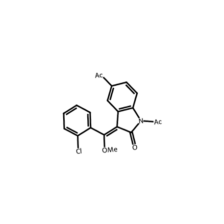 CO/C(=C1\C(=O)N(C(C)=O)c2ccc(C(C)=O)cc21)c1ccccc1Cl